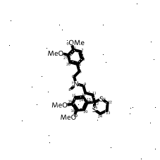 COc1ccc(CCN(C)CCCC2(c3ccc(OC)c(OC)c3)SCCCS2)cc1OC